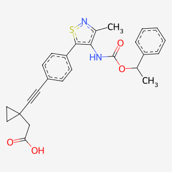 Cc1nsc(-c2ccc(C#CC3(CC(=O)O)CC3)cc2)c1NC(=O)OC(C)c1ccccc1